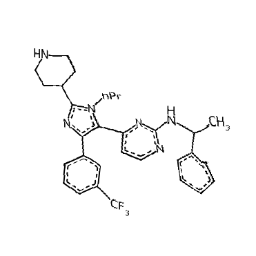 CCCn1c(C2CCNCC2)nc(-c2cccc(C(F)(F)F)c2)c1-c1ccnc(NC(C)c2ccccc2)n1